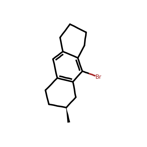 C[C@H]1CCc2cc3c(c(Br)c2C1)CCCC3